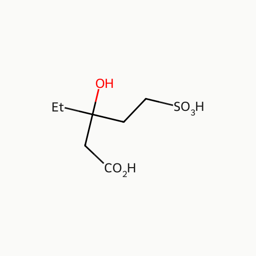 [CH2]CC(O)(CCS(=O)(=O)O)CC(=O)O